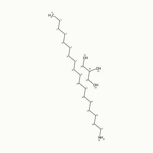 CCCCCCCCCCCCCCCCCCN.OCC(O)CO